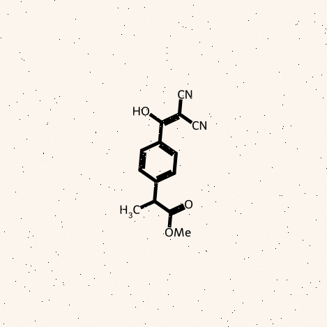 COC(=O)C(C)c1ccc(C(O)=C(C#N)C#N)cc1